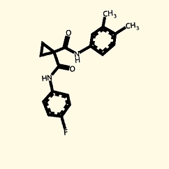 Cc1ccc(NC(=O)C2(C(=O)Nc3ccc(F)cc3)CC2)cc1C